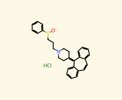 Cl.[O-][S+](CCCN1CCC(=C2c3ccccc3C=Cc3ccccc32)CC1)c1ccccc1